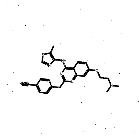 Cc1scnc1Nc1nc(Cc2ccc(C#N)cc2)nc2cc(OCCN(C)C)ccc12